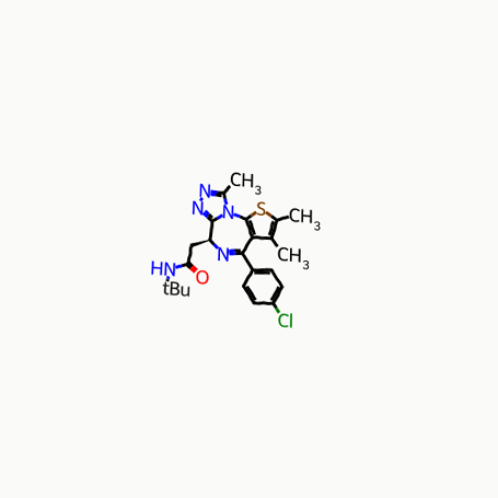 Cc1sc2c(c1C)C(c1ccc(Cl)cc1)=N[C@@H](CC(=O)NC(C)(C)C)c1nnc(C)n1-2